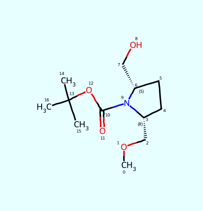 COC[C@H]1CC[C@@H](CO)N1C(=O)OC(C)(C)C